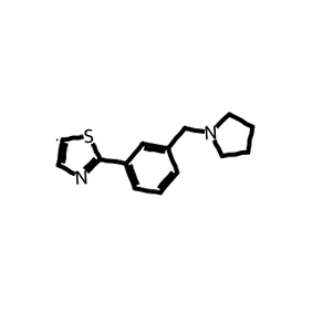 [c]1cnc(-c2cccc(CN3CCCC3)c2)s1